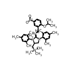 Cc1cc(C)c(N2CC(C[N+](C)(C)C)N(c3c(C)cc(C)cc3C)[C]2=[Ru]=[CH]c2cc([N+](=O)[O-])ccc2OC(C)C)c(C)c1